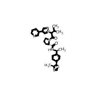 Cc1ncsc1-c1ccc([C@H](C)NC(=O)[C@@H]2CCCN2C(=O)C(C(C)C)n2cc(-c3cccnc3)cn2)cc1